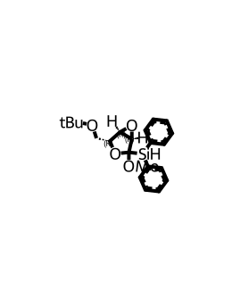 COC1([SiH](c2ccccc2)c2ccccc2)O[C@H](COC(C)(C)C)[C@H]2O[C@H]21